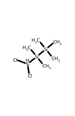 C[Si](C)(C)[Si](C)(C)[SiH](Cl)Cl